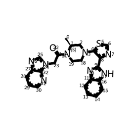 C[C@H]1CN(c2scnc2-c2nc3ccccc3[nH]2)CCN1C(=O)Cn1cnc2cccnc21